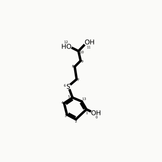 Oc1cccc(SCCCC(O)O)c1